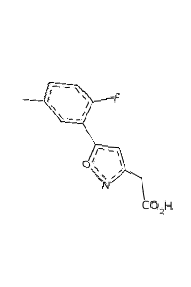 Cc1ccc(F)c(-c2cc(CC(=O)O)no2)c1